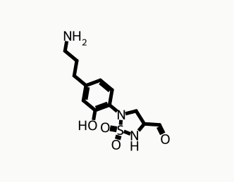 NCCCc1ccc(N2CC(C=O)NS2(=O)=O)c(O)c1